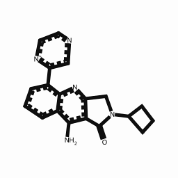 Nc1c2c(nc3c(-c4cnccn4)cccc13)CN(C1CCC1)C2=O